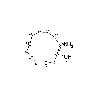 N/C1=C(\O)CCCCCCCCCC1